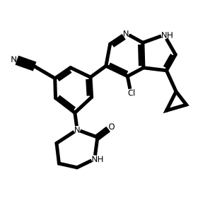 N#Cc1cc(-c2cnc3[nH]cc(C4CC4)c3c2Cl)cc(N2CCCNC2=O)c1